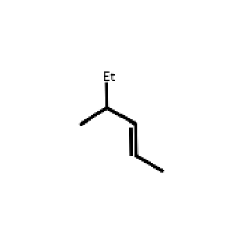 [CH2]CC(C)C=CC